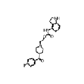 O=C(Nc1cccc2c1CCN2)OCCN1CCC(C(=O)c2ccc(I)cc2)CC1